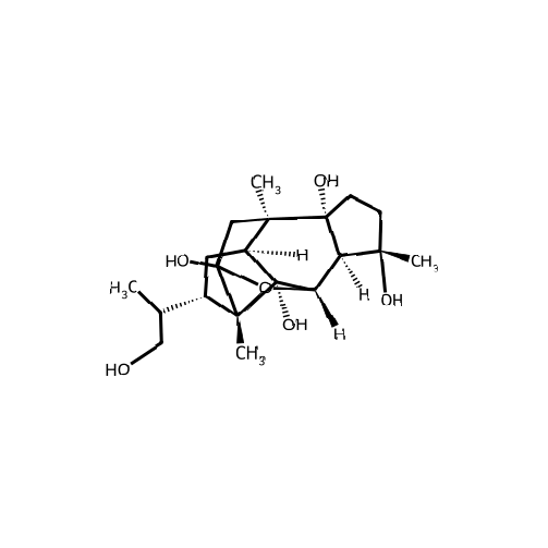 CC(CO)[C@@H]1C[C@@H]2[C@@]3(O)[C@@H]4OC(O)(C[C@@]2(C)[C@@]2(O)CC[C@](C)(O)[C@@H]42)[C@@]13C